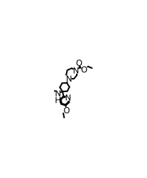 CCOC(=O)N1CCCN(C2CCC(NC)(c3ccc(OCC)cn3)CC2)CC1